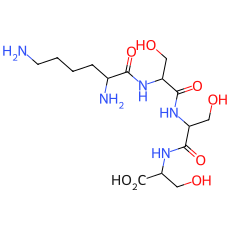 NCCCCC(N)C(=O)NC(CO)C(=O)NC(CO)C(=O)NC(CO)C(=O)O